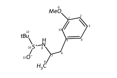 COc1cccc(CC(C)N[S+]([O-])C(C)(C)C)c1